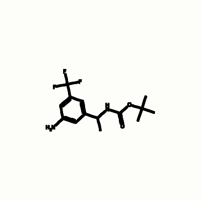 CC(NC(=O)OC(C)(C)C)c1cc(N)cc(C(F)(F)F)c1